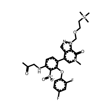 CC(=O)CNc1ccc(-c2cn(C)c(=O)c3c2cnn3COCC[Si](C)(C)C)c(Oc2ccc(F)cc2F)c1[N+](=O)[O-]